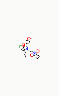 CCCCc1ccc(F)c2c(=O)c(-c3ccc(OC)cc3)cn(CCCCN3C(=O)c4ccccc4C3=O)c12